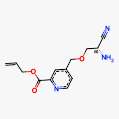 C=CCOC(=O)c1cc(COC[C@@H](N)C#N)ccn1